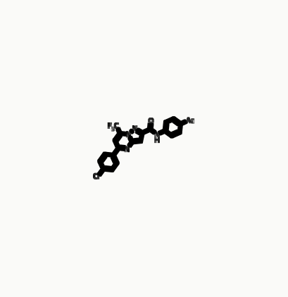 CC(=O)c1ccc(NC(=O)c2cc3nc(-c4ccc(Cl)cc4)cc(C(F)(F)F)n3n2)cc1